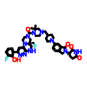 CC1(C)CN(CC2CCN(c3ccc4c(c3)C(=O)N([C@@H]3CCC(=O)NC3=O)C4)CC2)CCN1C(=O)N1CCN2c3cc(-c4cccc(F)c4O)nnc3NC[C@]2(CF)C1